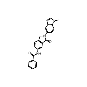 Cn1ccc2cc(N3Cc4ccc(NC(=O)c5ccccc5)cc4C3=O)ccc21